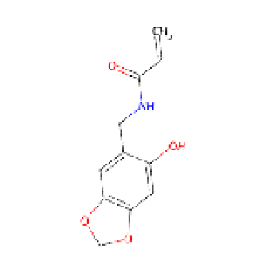 C=CC(=O)NCc1cc2c(cc1O)OCO2